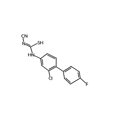 N#CN=C(S)Nc1ccc(-c2ccc(F)cc2)c(Cl)c1